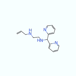 C=CCNCCNC(c1ccccn1)c1ccccn1